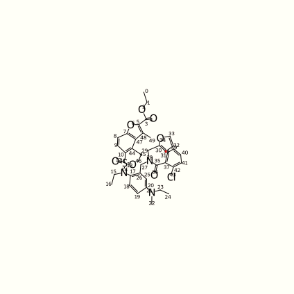 CCOC(=O)c1oc2ccc(S(=O)(=O)N(CC)c3ccc(N(C)CC)cc3CN(Cc3ccco3)C(=O)c3ccccc3Cl)c(CC)c2c1C